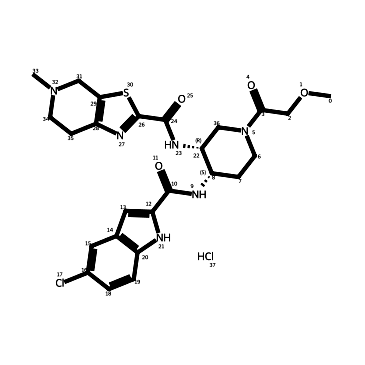 COCC(=O)N1CC[C@H](NC(=O)c2cc3cc(Cl)ccc3[nH]2)[C@H](NC(=O)c2nc3c(s2)CN(C)CC3)C1.Cl